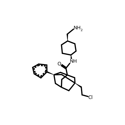 NC[C@H]1CC[C@@H](NC(=O)C23CC4C[C@@](CCCl)(C2)C[C@](c2ccccc2)(C4)C3)CC1